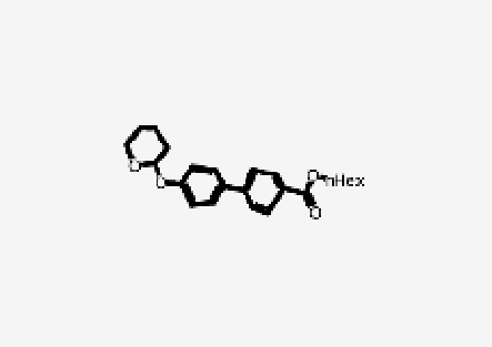 CCCCCCOC(=O)c1ccc(-c2ccc(OC3CCCCO3)cc2)cc1